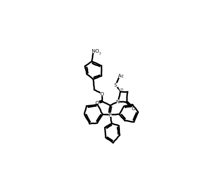 CC(=O)S[C@H]1CC(=O)N1C(C(=O)OCc1ccc([N+](=O)[O-])cc1)=P(c1ccccc1)(c1ccccc1)c1ccccc1